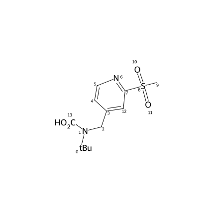 CC(C)(C)N(Cc1ccnc(S(C)(=O)=O)c1)C(=O)O